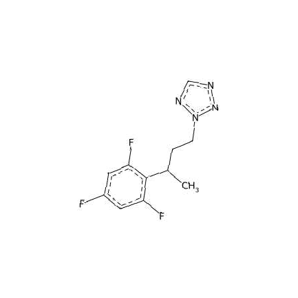 CC(CCn1ncnn1)c1c(F)cc(F)cc1F